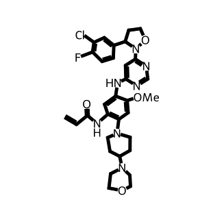 C=CC(=O)Nc1cc(Nc2cc(N3OCCC3c3ccc(F)c(Cl)c3)ncn2)c(OC)cc1N1CCC(N2CCOCC2)CC1